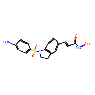 Nc1ccc(S(=O)(=O)N2CCc3cc(C=CC(=O)NO)ccc32)cc1